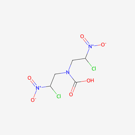 O=C(O)N(CC(Cl)[N+](=O)[O-])CC(Cl)[N+](=O)[O-]